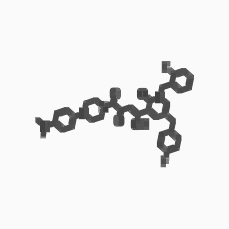 CN(C)c1ccc(N2CCN(C(=O)C(=O)C=C(O)c3cc(Cc4ccc(F)cc4)cn(Cc4ccccc4F)c3=O)CC2)cc1